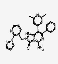 Cc1cc(-c2c(-c3ccccc3)nc(N)[n+]3c(=O)n(Cc4cccnc4-n4cccn4)[nH]c23)cc(C)n1